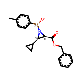 Cc1ccc([S@@+]([O-])N2[C@H](C3CC3)[C@@H]2C(=O)OCc2ccccc2)cc1